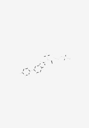 CS(=O)(=O)C(C(=O)NCCS(N)(=O)=O)c1nc2cc(-c3ccc(F)nc3)ccc2s1